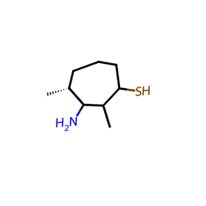 CC1C(S)CCC[C@@H](C)C1N